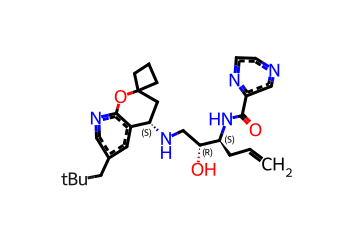 C=CC[C@H](NC(=O)c1cnccn1)[C@H](O)CN[C@H]1CC2(CCC2)Oc2ncc(CC(C)(C)C)cc21